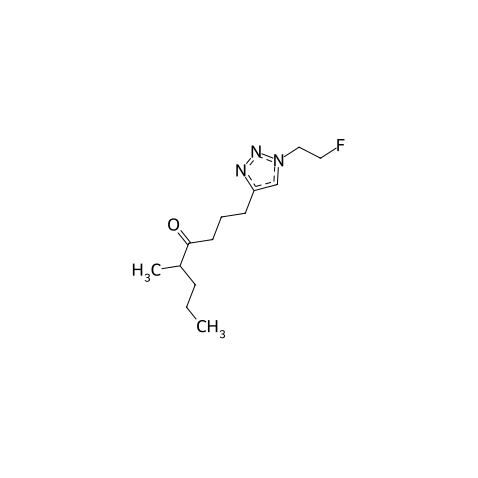 CCCC(C)C(=O)CCCc1cn(CCF)nn1